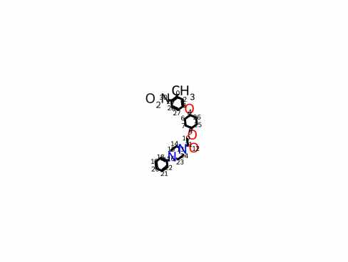 Cc1cc(OC2CCC(OCC(=O)N3CCN(c4ccccc4)CC3)CC2)ccc1[N+](=O)[O-]